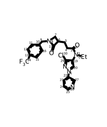 CCN(C(=O)CCC1CN(Cc2ccc(C(F)(F)F)cc2)C1=O)c1cn(-c2cccnc2)nc1Cl